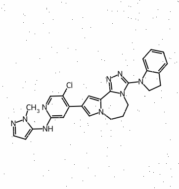 Cn1nccc1Nc1cc(-c2cc3n(c2)CCCn2c-3nnc2N2CCc3ccccc32)c(Cl)cn1